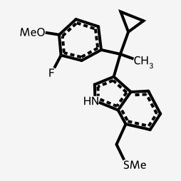 COc1ccc(C(C)(c2c[nH]c3c(CSC)cccc23)C2CC2)cc1F